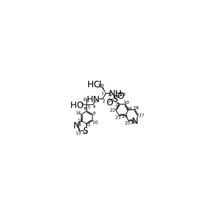 C[C@H](CNCC(C)(O)c1ccc2scnc2c1)NS(=O)(=O)c1ccc2cnccc2c1.Cl